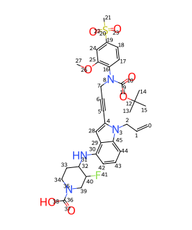 C=CCn1c(C#CCN(C(=O)OC(C)(C)C)c2ccc(S(C)(=O)=O)cc2OC)cc2c(NC3CCN(C(=O)O)CC3F)cccc21